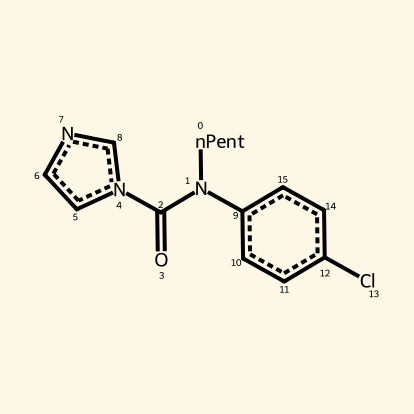 CCCCCN(C(=O)n1ccnc1)c1ccc(Cl)cc1